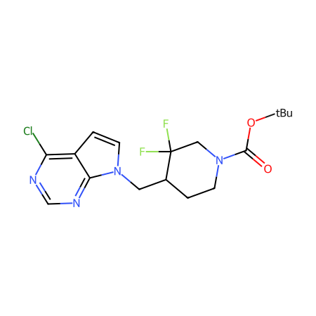 CC(C)(C)OC(=O)N1CCC(Cn2ccc3c(Cl)ncnc32)C(F)(F)C1